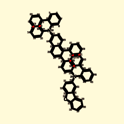 c1ccc(-c2ccccc2N(c2ccccc2)c2ccc3c(ccc4c5ccc(N(c6ccc7oc8ccccc8c7c6)c6ccccc6-c6ccccc6)cc5c5ccccc5c34)c2)cc1